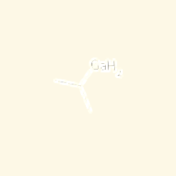 C[CH](C)[GaH2]